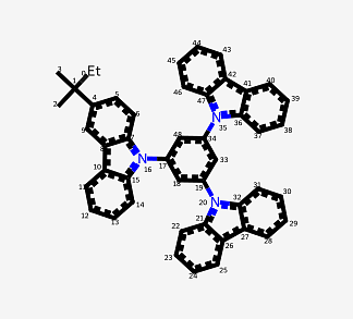 CCC(C)(C)c1ccc2c(c1)c1ccccc1n2-c1cc(-n2c3ccccc3c3ccccc32)cc(-n2c3ccccc3c3ccccc32)c1